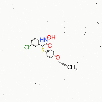 CC#CCOc1ccc(SC(C(=O)NO)c2cccc(Cl)c2)cc1